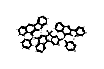 CC1(C)c2cc(N(c3ccccc3)c3c4ccccc4cc4c3oc3ccccc34)ccc2-c2c1cc(N(c1ccccc1)c1c3ccccc3cc3c1oc1ccccc13)c1ccccc21